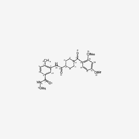 CONC(=O)c1ccc(C)c(NC(=O)C2CCN(C(=O)c3ccc(OC)cc3OC)CC2)c1